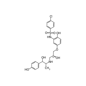 CC(NC[C@H](O)COc1ccc(O)c(NS(=O)(=O)c2ccc(Cl)cc2)c1)C(O)c1ccc(O)cc1